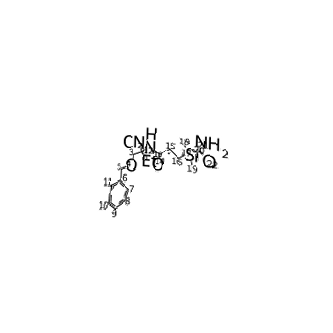 CCC(C#N)(COCc1ccccc1)NC(=O)[CH]C[Si](C)(C)C(N)=O